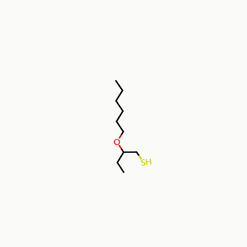 CCCCCCOC(CC)CS